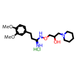 COc1ccc(CCC(=N)NOCC(O)CN2CCCCC2)cc1OC.Cl